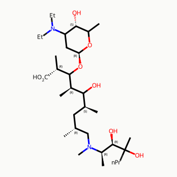 CCCC(C)(O)[C@H](O)[C@@H](C)N(C)C[C@H](C)C[C@H](C)C(O)[C@@H](C)C(O[C@H]1CC(N(CC)CC)[C@H](O)C(C)O1)[C@@H](C)C(=O)O